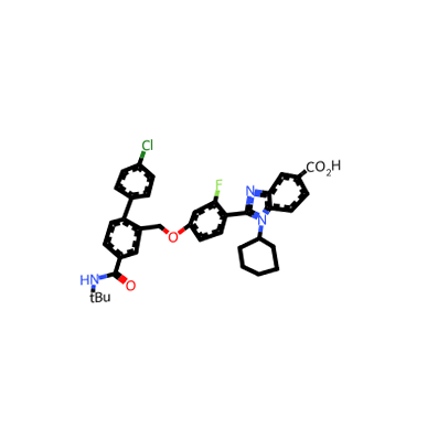 CC(C)(C)NC(=O)c1ccc(-c2ccc(Cl)cc2)c(COc2ccc(-c3nc4cc(C(=O)O)ccc4n3C3CCCCC3)c(F)c2)c1